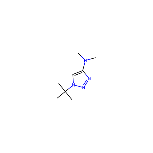 CN(C)c1cn(C(C)(C)C)nn1